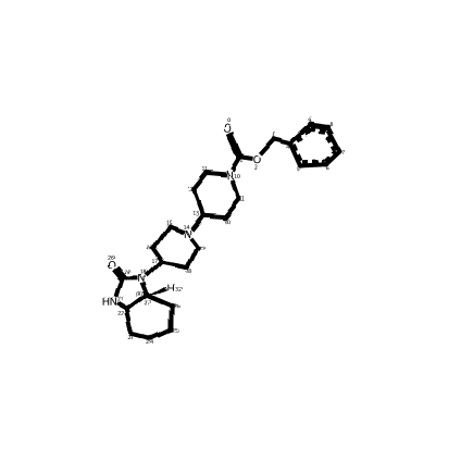 O=C(OCc1ccccc1)N1CCC(N2CCC(N3C(=O)NC4CCCC[C@H]43)CC2)CC1